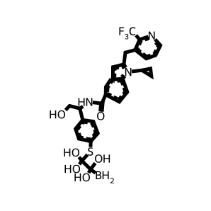 BC(O)(O)C(O)(O)Sc1ccc(C(CO)NC(=O)c2ccc3c(c2)cc(Cc2cccnc2C(F)(F)F)n3C2CC2)cc1